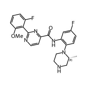 COc1cccc(F)c1-c1nccc(C(=O)Nc2cc(F)ccc2N2CCNC[C@H]2C)n1